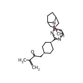 C=C(C)C(=O)C[C@H]1CC[C@@H](c2nccc(N3C4CCC3CN(C)C4)n2)CC1